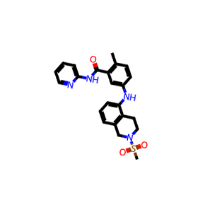 Cc1ccc(Nc2cccc3c2CCN(S(C)(=O)=O)C3)cc1C(=O)Nc1ccccn1